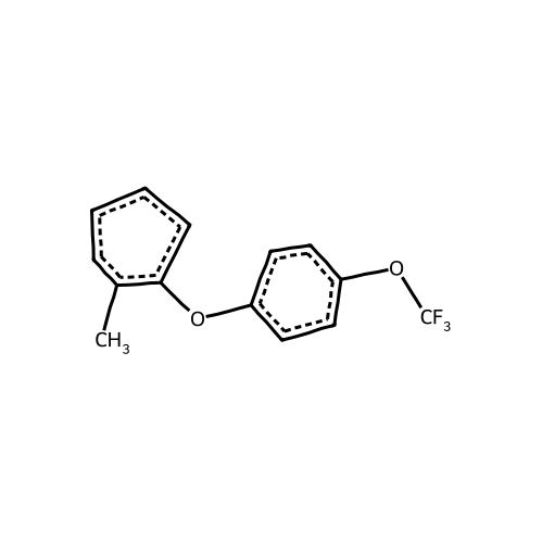 Cc1ccccc1Oc1ccc(OC(F)(F)F)cc1